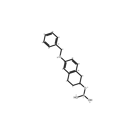 OB(O)OC1CCc2cc(OCc3ccccc3)ccc2C1